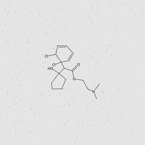 CN(C)CCOC(=O)C(C1(O)CCCC1)C1(Cl)C=CC=CC1Cl